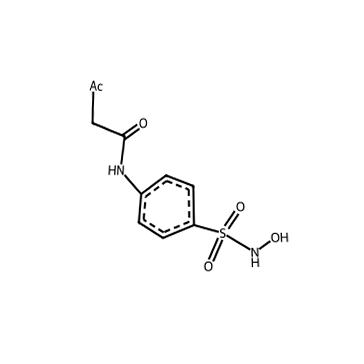 CC(=O)CC(=O)Nc1ccc(S(=O)(=O)NO)cc1